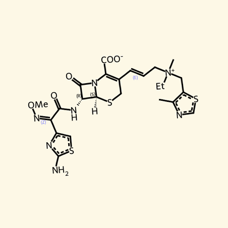 CC[N+](C)(C/C=C/C1=C(C(=O)[O-])N2C(=O)[C@@H](NC(=O)/C(=N\OC)c3csc(N)n3)[C@@H]2SC1)Cc1scnc1C